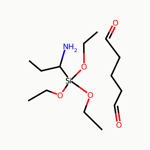 CCO[Si](OCC)(OCC)C(N)CC.O=CCCCC=O